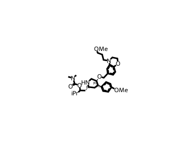 COCCCN1CCOc2ccc(CO[C@H]3CN[C@@H](CC(OC(=O)N(C)C)C(C)C)C[C@@H]3c3ccc(OC)cc3)cc21